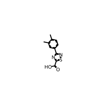 Cc1ccc(-c2nsc(C(=O)O)n2)cc1C